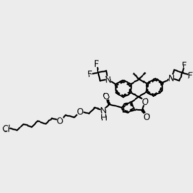 CC1(C)c2cc(N3CC(F)(F)C3)ccc2C2(OC(=O)c3ccc(C(=O)NCCOCCOCCCCCCCl)cc32)c2ccc(N3CC(F)(F)C3)cc21